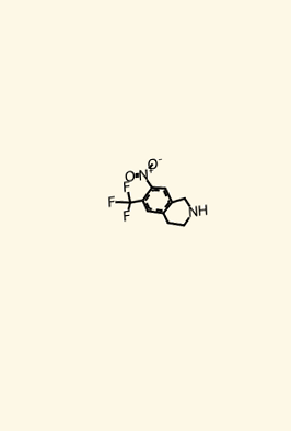 O=[N+]([O-])c1cc2c(cc1C(F)(F)F)CCNC2